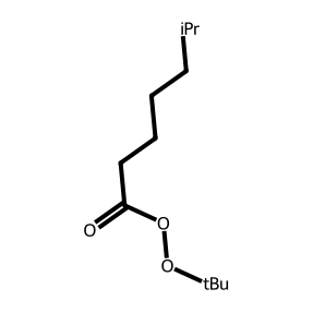 CC(C)CCCCC(=O)OOC(C)(C)C